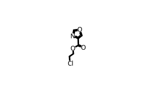 O=C(OCCCl)c1cocn1